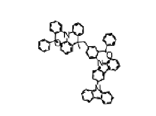 CC1(Cc2ccc(-n3c4ccccc4c4cc(-n5c6ccccc6c6ccccc65)ccc43)c(C(=O)c3ccccc3)c2)c2ccccc2N(c2ccccc2C(=O)c2ccccc2)c2ccccc21